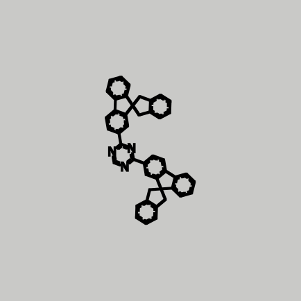 c1ccc2c(c1)CC1(C2)c2ccccc2-c2ccc(-c3ncnc(-c4ccc5c(c4)C4(Cc6ccccc6C4)c4ccccc4-5)n3)cc21